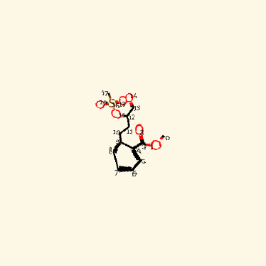 COC(=O)c1ccccc1CCC(C=O)OS(C)(=O)=O